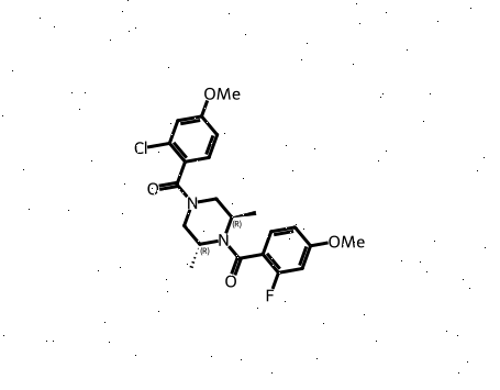 COc1ccc(C(=O)N2[C@H](C)CN(C(=O)c3ccc(OC)cc3Cl)C[C@H]2C)c(F)c1